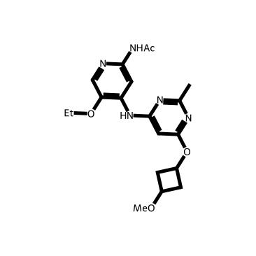 CCOc1cnc(NC(C)=O)cc1Nc1cc(OC2CC(OC)C2)nc(C)n1